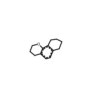 [CH]1CCOc2c1ccc1c2CCCC1